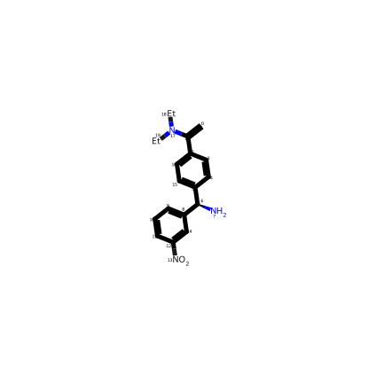 C=C(c1ccc([C@@H](N)c2cccc([N+](=O)[O-])c2)cc1)N(CC)CC